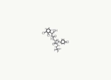 O=C(Cn1nc(-c2ccc(Cl)cc2)n(CCC(F)(F)I)c1=O)NC(CO)c1cccc(Cl)c1Cl